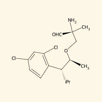 CC(C)[C@H](c1ccc(Cl)cc1Cl)[C@H](C)OC[C@@](C)(N)C=O